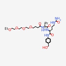 CCOCCOCCOCCOCCCC(=O)N[C@H](C(=O)N[C@@H](CCCNC(N)=O)C(=O)Nc1ccc(CO)cc1)C(C)C